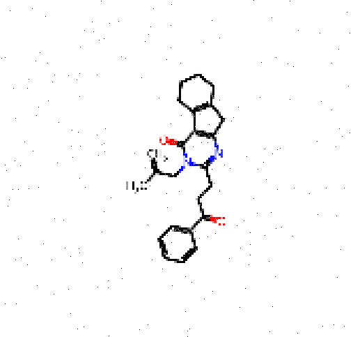 C=C(C)Cn1c(CCC(=O)c2ccccc2)nc2c(c1=O)C1=C(CCCC1)C2